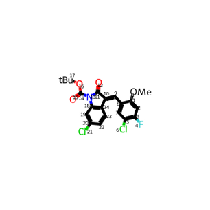 COc1cc(F)c(Cl)cc1/C=C1/C(=O)N(C(=O)OC(C)(C)C)c2cc(Cl)ccc21